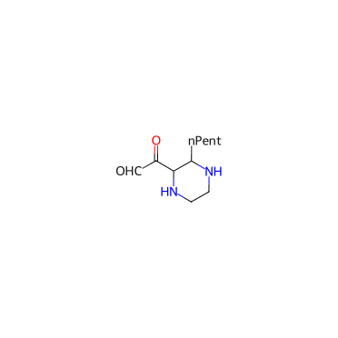 CCCCCC1NCCNC1C(=O)C=O